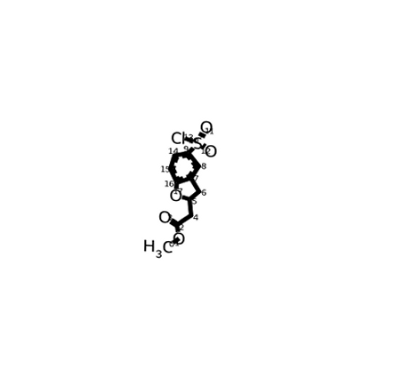 COC(=O)CC1Cc2cc(S(=O)(=O)Cl)ccc2O1